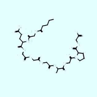 CCCCC(=O)NCC(=O)NC(CCC(N)=O)C(=O)N[C@@H](C)C(=O)NCC(=O)NCC(=O)NC(C)C(=O)NCC(=O)N1CCCC1C(=O)NCC(=O)O